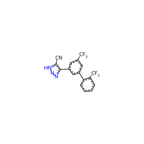 N#Cc1[nH]nnc1-c1cc(-c2ccccc2C(F)(F)F)cc(C(F)(F)F)c1